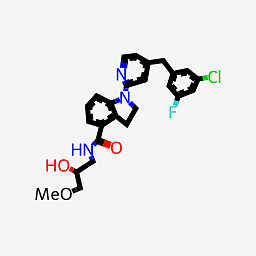 COCC(O)CNC(=O)c1cccc2c1CCN2c1cc(Cc2cc(F)cc(Cl)c2)ccn1